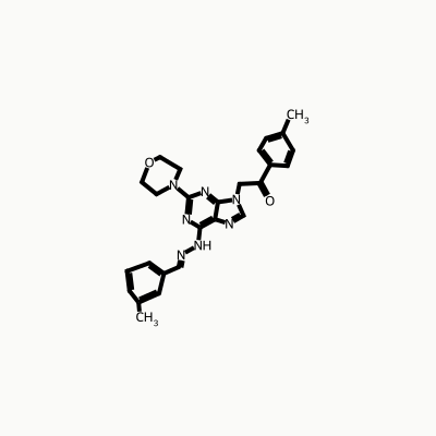 Cc1ccc(C(=O)Cn2cnc3c(NN=Cc4cccc(C)c4)nc(N4CCOCC4)nc32)cc1